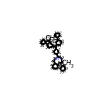 CC1/C=C\C(c2ccc(N(c3cccc(-c4ccccc4)c3)c3ccc4c(c3)C(C)(C)c3ccccc3-4)cc2)=C/Cc2ccccc2N1c1ccccc1